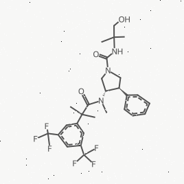 CN(C(=O)C(C)(C)c1cc(C(F)(F)F)cc(C(F)(F)F)c1)[C@@H]1CN(C(=O)NC(C)(C)CO)C[C@H]1c1ccccc1